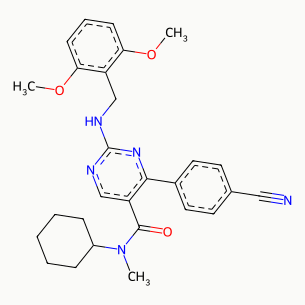 COc1cccc(OC)c1CNc1ncc(C(=O)N(C)C2CCCCC2)c(-c2ccc(C#N)cc2)n1